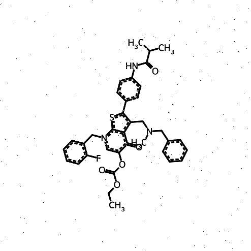 CCOC(=O)Oc1cn(Cc2ccccc2F)c2sc(-c3ccc(NC(=O)C(C)C)cc3)c(CN(C)Cc3ccccc3)c2c1=O